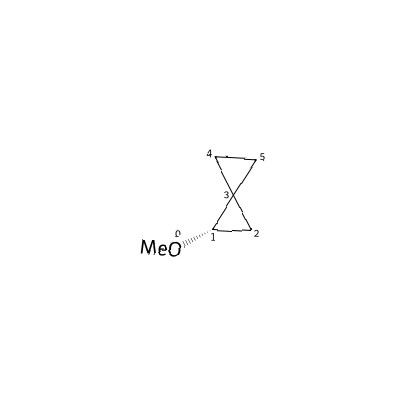 CO[C@H]1CC12CC2